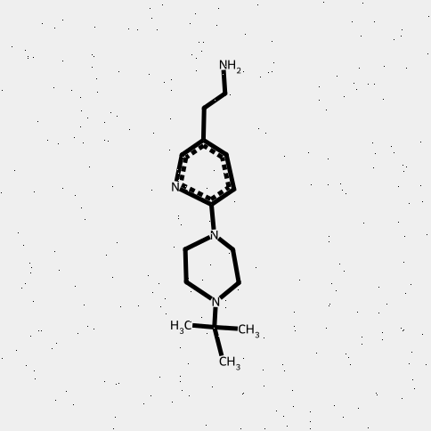 CC(C)(C)N1CCN(c2ccc(CCN)cn2)CC1